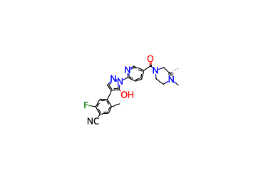 Cc1cc(C#N)c(F)cc1-c1cnn(-c2ccc(C(=O)N3CCN(C)[C@@H](C)C3)cn2)c1O